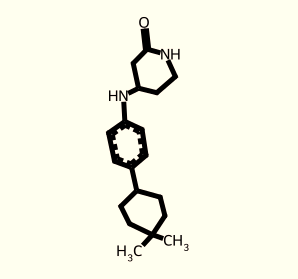 CC1(C)CCC(c2ccc(NC3CCNC(=O)C3)cc2)CC1